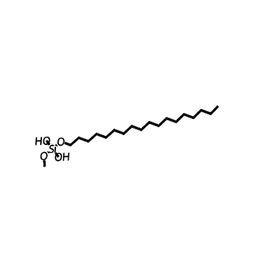 CCCCCCCCCCCCCCCCCCO[Si](O)(O)OC